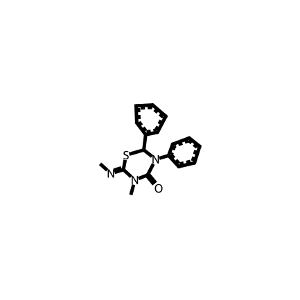 CN=C1SC(c2ccccc2)N(c2ccccc2)C(=O)N1C